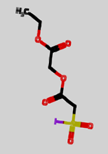 CCOC(=O)COC(=O)CS(=O)(=O)I